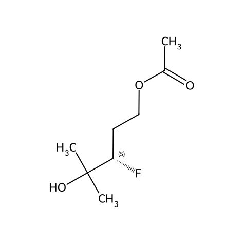 CC(=O)OCC[C@H](F)C(C)(C)O